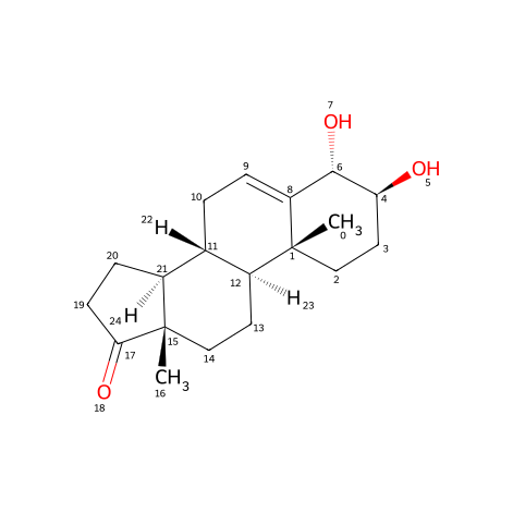 C[C@]12CC[C@H](O)[C@@H](O)C1=CC[C@@H]1[C@@H]2CC[C@]2(C)C(=O)CC[C@@H]12